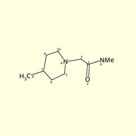 CNC(=O)CN1CCC(C)CC1